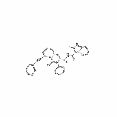 Cc1nn2cccnc2c1C(=O)N[C@@H](C)c1cc2cccc(C#Cc3ccccn3)c2c(=O)n1-c1ccccc1